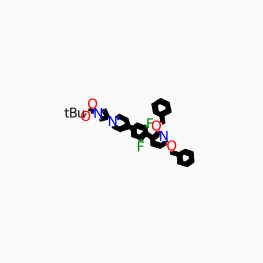 CC(C)(C)OC(=O)N1CC(N2CC=C(c3cc(F)c(-c4ccc(OCc5ccccc5)nc4OCc4ccccc4)c(F)c3)CC2)C1